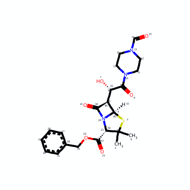 CC1(C)S[C@@H]2[C@H]([C@H](O)C(=O)N3CCN(C=O)CC3)C(=O)N2[C@H]1C(=O)OCc1ccccc1